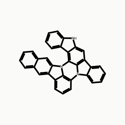 c1ccc2cc3c(cc2c1)c1cccc2c1n3c1c3c(cc4c5ccccc5n2c41)[nH]c1ccccc13